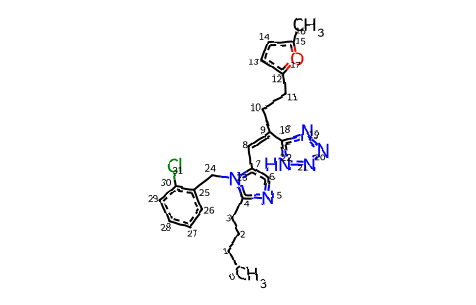 CCCCc1ncc(/C=C(/CCc2ccc(C)o2)c2nnn[nH]2)n1Cc1ccccc1Cl